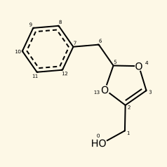 OCC1=COC(Cc2ccccc2)O1